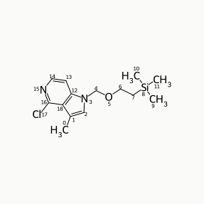 Cc1cn(COCC[Si](C)(C)C)c2ccnc(Cl)c12